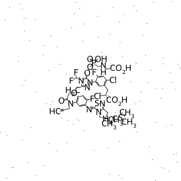 C#CCN1C(=O)COc2cc(F)c(/N=c3\snc4n3CC(C)(C)C4)cc21.C[S+](C)C.Cc1nn(-c2cc(CC(Cl)C(=O)O)c(Cl)cc2F)c(=O)n1C(F)F.O=C(O)CNCP(=O)([O-])O